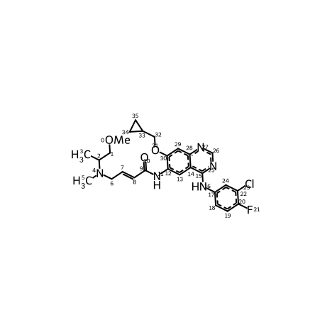 COCC(C)N(C)CC=CC(=O)Nc1cc2c(Nc3ccc(F)c(Cl)c3)ncnc2cc1OCC1CC1